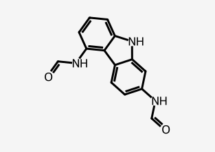 O=CNc1ccc2c(c1)[nH]c1cccc(NC=O)c12